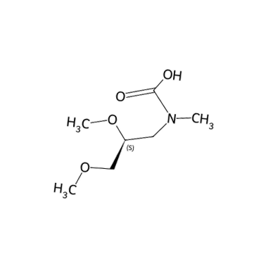 COC[C@H](CN(C)C(=O)O)OC